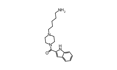 NCCCCCN1CCN(C(=O)c2cc3ccccc3[nH]2)CC1